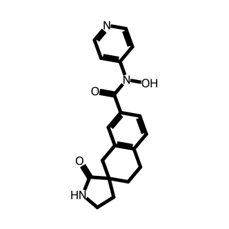 O=C(c1ccc2c(c1)CC1(CCNC1=O)CC2)N(O)c1ccncc1